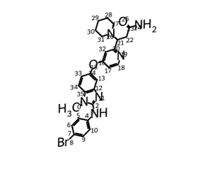 Cn1c(Nc2ccc(Br)cc2)nc2cc(Oc3ccnc(C(CC(N)=O)N4CCCCC4)c3)ccc21